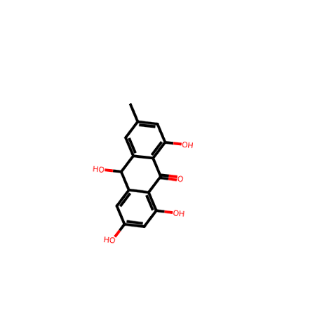 Cc1cc(O)c2c(c1)C(O)c1cc(O)cc(O)c1C2=O